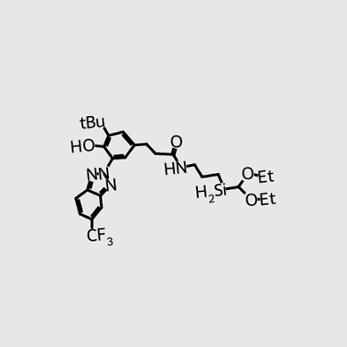 CCOC(OCC)[SiH2]CCCNC(=O)CCc1cc(-n2nc3ccc(C(F)(F)F)cc3n2)c(O)c(C(C)(C)C)c1